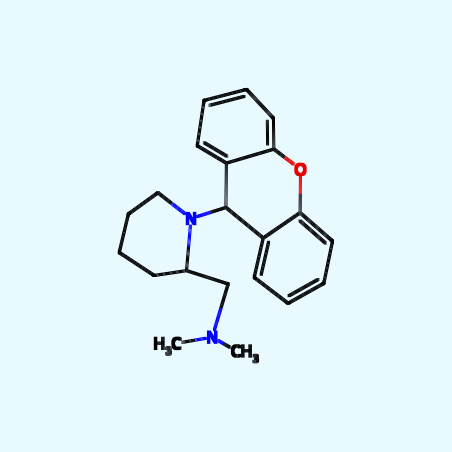 CN(C)CC1CCCCN1C1c2ccccc2Oc2ccccc21